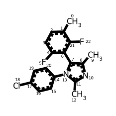 Cc1ccc(F)c(-c2c(C)nc(C)n2-c2ccc(Cl)cc2)c1F